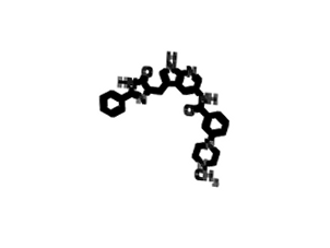 CN1CCN(c2cccc(C(=O)Nc3cnc4[nH]cc(/C=C5/N=C(c6ccccc6)NC5=O)c4c3)c2)CC1